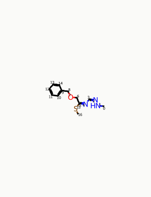 CN/N=C\N=C(/COCc1ccccc1)SC